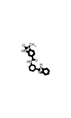 Cn1c(=O)[nH]c2cc(C(=O)NC3CCCC(c4nc5ccccc5[nH]4)C3)ccc21